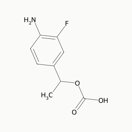 CC(OC(=O)O)c1ccc(N)c(F)c1